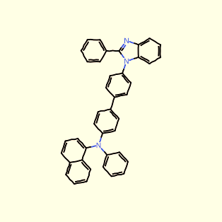 c1ccc(-c2nc3ccccc3n2-c2ccc(-c3ccc(N(c4ccccc4)c4cccc5ccccc45)cc3)cc2)cc1